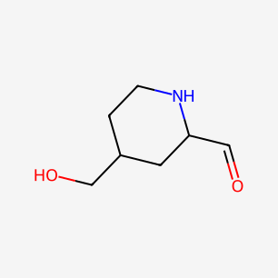 O=CC1CC(CO)CCN1